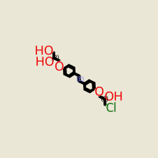 OC[C@@H](O)COc1ccc(/C=C/c2ccc(OC[C@H](O)CCl)cc2)cc1